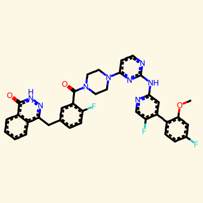 COc1cc(F)ccc1-c1cc(Nc2nccc(N3CCN(C(=O)c4cc(Cc5n[nH]c(=O)c6ccccc56)ccc4F)CC3)n2)ncc1F